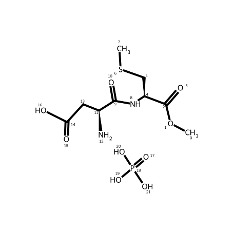 COC(=O)[C@H](CSC)NC(=O)[C@@H](N)CC(=O)O.O=P(O)(O)O